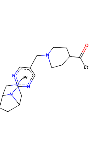 CCC(=O)C1CCN(Cc2cnc(N3C4CCC3CN(C(C)C)C4)nc2)CC1